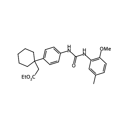 CCOC(=O)CC1(c2ccc(NC(=O)Nc3cc(C)ccc3OC)cc2)CCCCC1